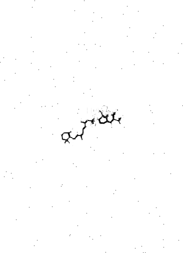 CC(=O)c1cc2ccc(OC(=O)C=C(C)C=CC=C(C)C=CC3=C(C)CCCC3(C)C)c(C(=O)O)c2oc1=O